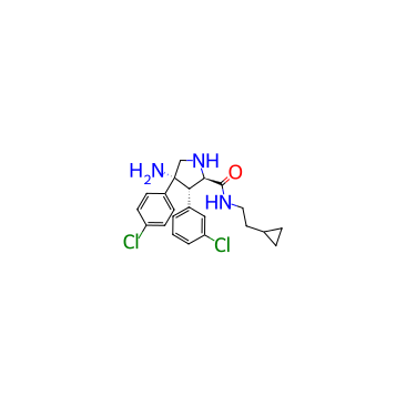 N[C@]1(c2ccc(Cl)cc2)CN[C@@H](C(=O)NCCC2CC2)[C@@H]1c1cccc(Cl)c1